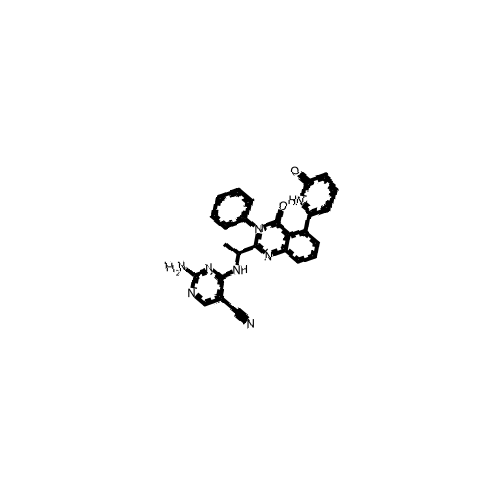 CC(Nc1nc(N)ncc1C#N)c1nc2cccc(-c3cccc(=O)[nH]3)c2c(=O)n1-c1ccccc1